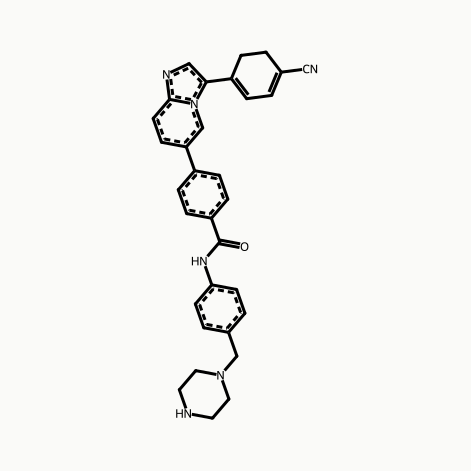 N#CC1=CC=C(c2cnc3ccc(-c4ccc(C(=O)Nc5ccc(CN6CCNCC6)cc5)cc4)cn23)CC1